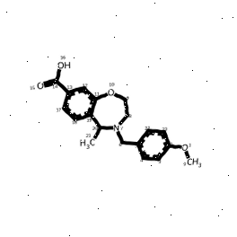 COc1ccc(CN2CCOc3cc(C(=O)O)ccc3C2C)cc1